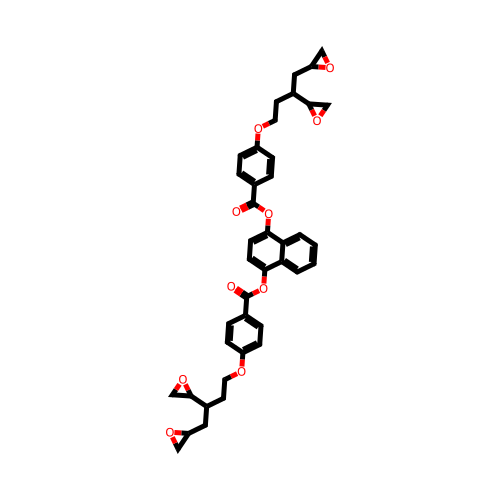 O=C(Oc1ccc(OC(=O)c2ccc(OCCC(CC3CO3)C3CO3)cc2)c2ccccc12)c1ccc(OCCC(CC2CO2)C2CO2)cc1